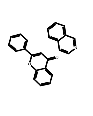 O=c1cc(-c2ccccc2)oc2ccccc12.c1ccc2cnccc2c1